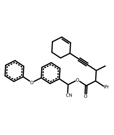 CC(C)C(C(=O)OC(C#N)c1cccc(Oc2ccccc2)c1)C(C)C#CC1C=CCCC1